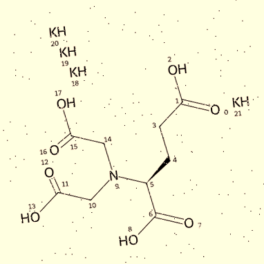 O=C(O)CC[C@@H](C(=O)O)N(CC(=O)O)CC(=O)O.[KH].[KH].[KH].[KH]